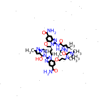 CCn1nc(C)cc1C(=O)Nc1nc2cc(C(N)=O)cc3c2n1[C@@H](CCCn1c(NC(O)c2cc(C)nn2CC)nc2cc(C(N)=O)cc(OCCCN(C)C(=O)CN(C)C)c21)CO3